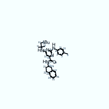 Cc1ccc(Nc2nc(NC(C)(C)CC(C)(C)C)cc(C(=O)NC3CCc4ccccc4C3)n2)cc1